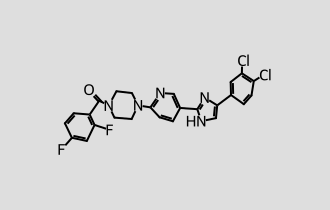 O=C(c1ccc(F)cc1F)N1CCN(c2ccc(-c3nc(-c4ccc(Cl)c(Cl)c4)c[nH]3)cn2)CC1